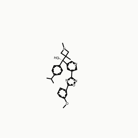 COc1cccc(-c2nc(-c3cncc([C@@](O)(c4ccc(C(C)C)cc4)C4(C)CN(C)C4)c3)no2)c1